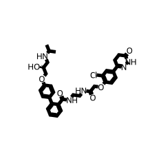 CC(C)NC[C@H](O)COc1ccc(-c2ccccc2C(=O)NCCNC(=O)COc2ccc(C3=NNC(=O)CC3)cc2Cl)cc1